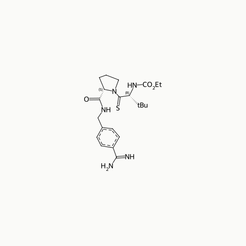 CCOC(=O)N[C@@H](C(=S)N1CCC[C@H]1C(=O)NCc1ccc(C(=N)N)cc1)C(C)(C)C